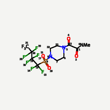 CNC(=O)C(=O)N1CCN(S(=O)(=O)C(F)(F)C(F)(F)C(F)(F)C(F)(F)F)CC1